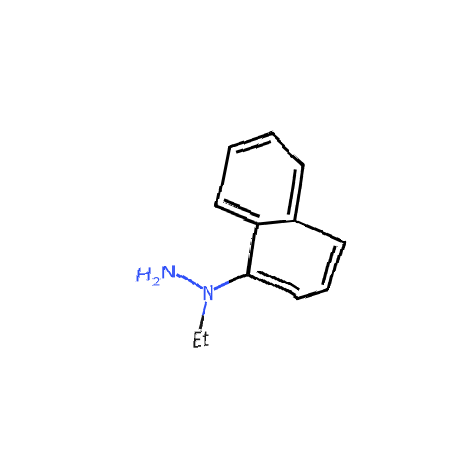 CCN(N)c1cccc2ccccc12